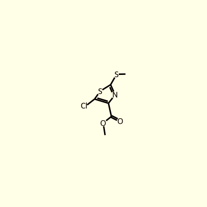 COC(=O)c1nc(SC)sc1Cl